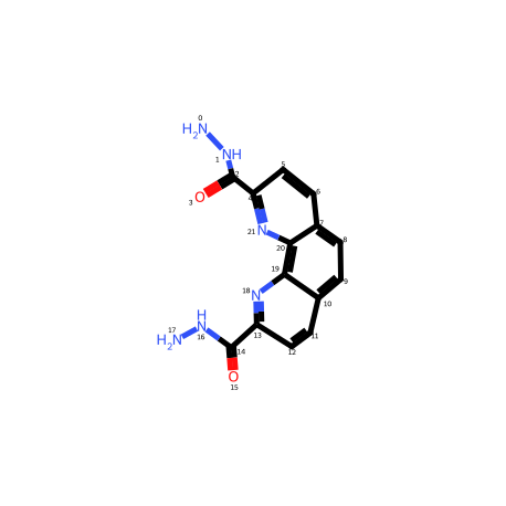 NNC(=O)c1ccc2ccc3ccc(C(=O)NN)nc3c2n1